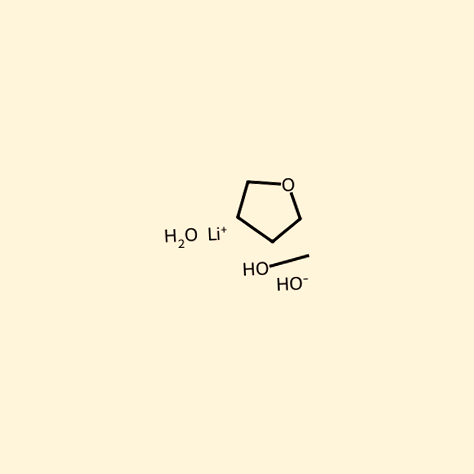 C1CCOC1.CO.O.[Li+].[OH-]